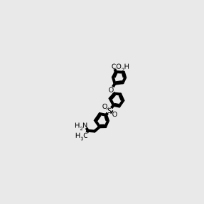 CC(N)Cc1ccc(S(=O)(=O)c2cccc(Oc3cccc(C(=O)O)c3)c2)cc1